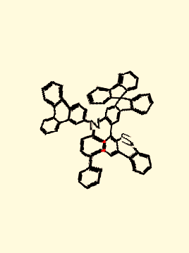 c1ccc(-c2ccc(N(c3ccc4c5ccccc5c5ccccc5c4c3)c3cc4c(cc3-c3cccc5c3sc3ccccc35)-c3ccccc3C43c4ccccc4-c4ccccc43)cc2)cc1